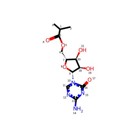 CC(C)C(=O)OC[C@H]1O[C@@H](n2cnc(N)nc2=O)[C@H](O)[C@@H]1O